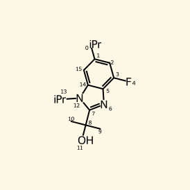 CC(C)c1cc(F)c2nc(C(C)(C)O)n(C(C)C)c2c1